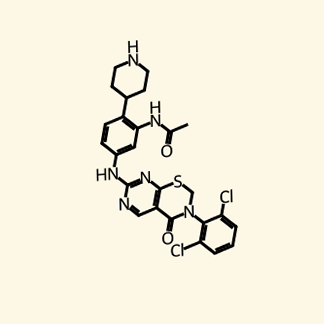 CC(=O)Nc1cc(Nc2ncc3c(n2)SCN(c2c(Cl)cccc2Cl)C3=O)ccc1C1CCNCC1